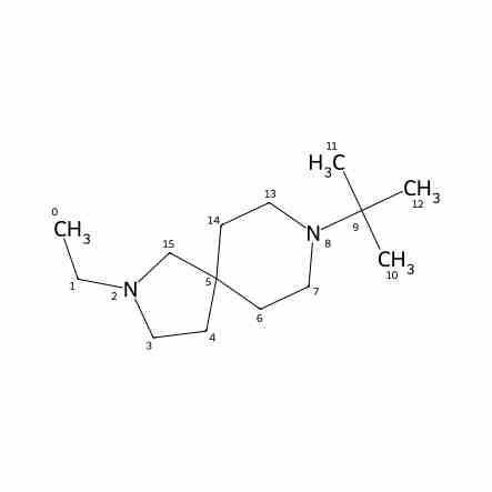 CCN1CCC2(CCN(C(C)(C)C)CC2)C1